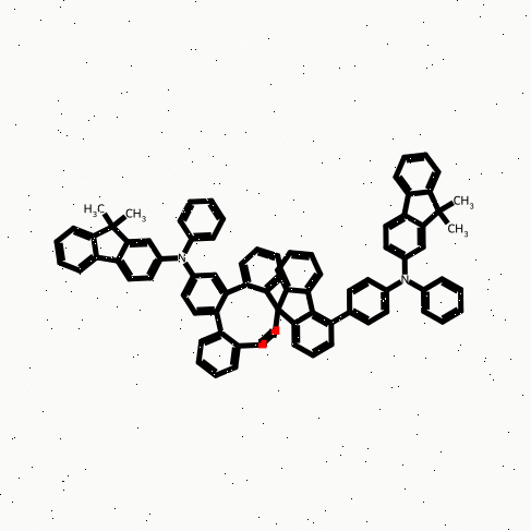 CC1(C)c2ccccc2-c2ccc(N(c3ccccc3)c3ccc(-c4cccc5c4-c4ccccc4C54c5ccccc5-c5ccccc5-c5ccc(N(c6ccccc6)c6ccc7c(c6)C(C)(C)c6ccccc6-7)cc5-c5ccccc54)cc3)cc21